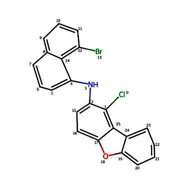 Clc1c(Nc2cccc3cccc(Br)c23)ccc2oc3ccccc3c12